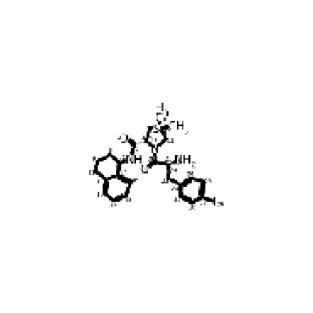 C[Si]1(C)C[C@@H](C(=O)NC2CCCc3ccccc32)N(C(=O)[C@@H](N)Cc2ccc(I)cc2)C1